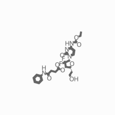 CCOC(=O)Nc1ccn([C@@H]2O[C@H](CCO)[C@@H](OC(=O)CCC(=O)Nc3ccccc3)C2(F)F)c(=O)n1